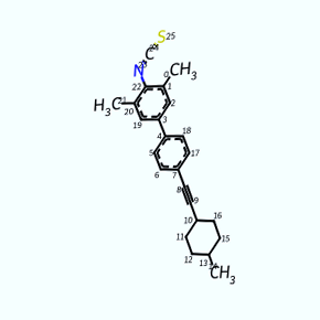 Cc1cc(-c2ccc(C#CC3CCC(C)CC3)cc2)cc(C)c1N=C=S